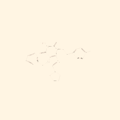 CCCn1c(=O)c2c(nc(C3CCCC3)n2Cc2ccccc2)n(CCc2ccc(Cl)cc2)c1=O